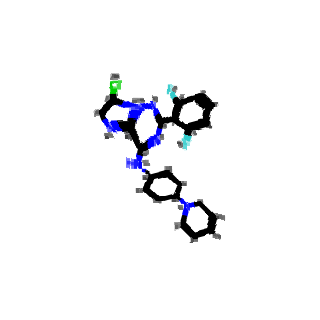 Fc1cccc(F)c1-c1nc(N[C@H]2CC[C@H](N3CCCCC3)CC2)c2ncc(Cl)n2n1